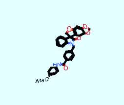 COc1ccc(NC(=O)c2ccc(CN3C(=O)C4(COc5cc6c(cc54)OCO6)c4ccccc43)cc2)cc1